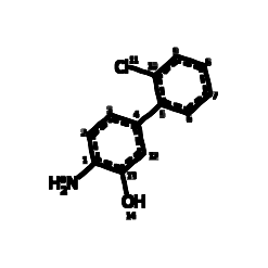 Nc1ccc(-c2ccccc2Cl)cc1O